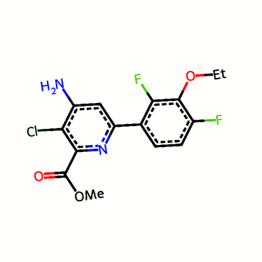 CCOc1c(F)ccc(-c2cc(N)c(Cl)c(C(=O)OC)n2)c1F